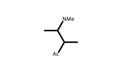 CNC(C)C(C)C(C)=O